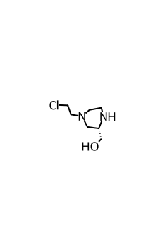 OC[C@@H]1CN(CCCl)CCN1